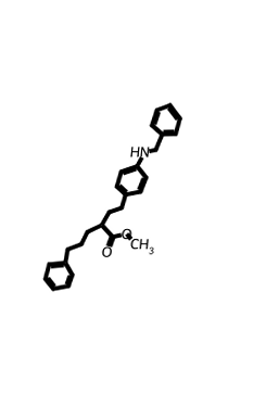 COC(=O)C(CCCc1ccccc1)CCc1ccc(NCc2ccccc2)cc1